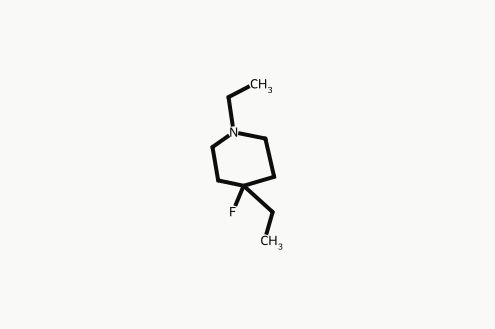 CCN1CCC(F)(CC)CC1